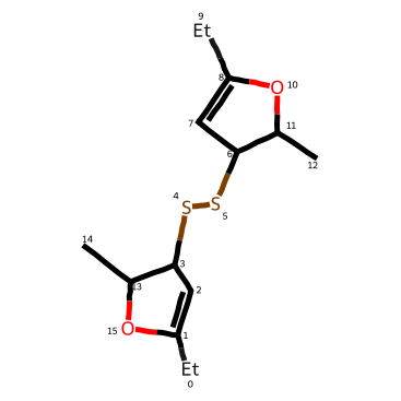 CCC1=CC(SSC2C=C(CC)OC2C)C(C)O1